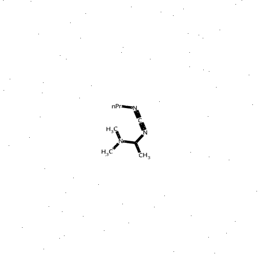 CCCN=C=NC(C)N(C)C